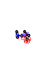 COc1cc(C(CC(=O)N2CCC(c3cn(Cc4ccccc4)c4ccccc34)CC2=O)c2cn(Cc3ccccc3)c3ccccc23)cc(OC)c1OC